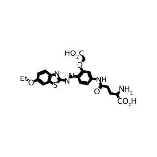 CCOc1ccc2nc(/N=N/c3ccc(NC(=O)CCC(N)C(=O)O)cc3OCC(=O)O)sc2c1